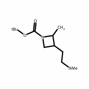 CNCCC1CN(C(=O)OC(C)(C)C)C1C